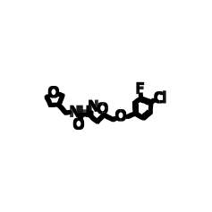 O=C(NCC1CCOC1)C1=NOC(COCc2ccc(Cl)c(F)c2)C1